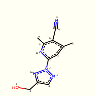 Cc1cc(-n2ncc(CO)n2)nc(C)c1C#N